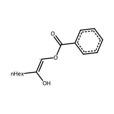 CCCCCCC(O)=[C]OC(=O)c1ccccc1